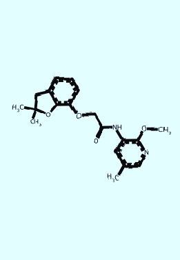 COc1ncc(C)cc1NC(=O)COc1cccc2c1OC(C)(C)C2